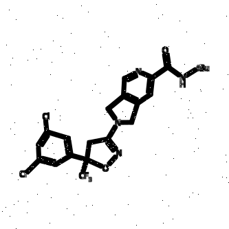 CC(C)(C)NC(=O)c1cc2c(cn1)CN(C1=NOC(c3cc(Cl)cc(Cl)c3)(C(F)(F)F)C1)C2